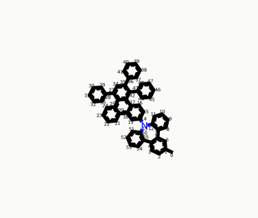 Cc1ccc2c(c1)-c1ccccc1N(c1ccc3c(c1)c1ccccc1c1c(-c4ccccc4)cc(-c4ccccc4)c(-c4ccccc4)c31)c1ccccc1-2